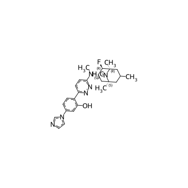 CC1C[C@@]2(C)C[C@H](N(C)c3ccc(-c4ccc(-n5ccnc5)cc4O)nn3)[C@@H](F)[C@@](C)(C1)N2C